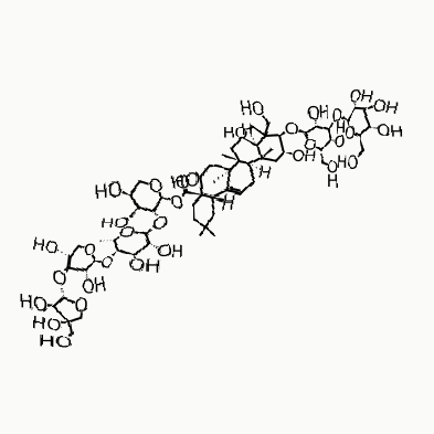 C[C@@H]1O[C@@H](O[C@H]2[C@H](OC(=O)[C@]34CCC(C)(C)C[C@H]3C3=CC[C@@H]5[C@@]6(C)C[C@H](O)[C@H](O[C@@H]7O[C@H](CO)[C@@H](O)[C@H](O[C@@H]8O[C@H](CO)[C@@H](O)[C@H](O)[C@H]8O)[C@H]7O)C(CO)(CO)[C@@H]6CC[C@@]5(C)[C@]3(C)C[C@H]4O)OC[C@H](O)[C@@H]2O)[C@H](O)[C@H](O)[C@H]1O[C@@H]1OC[C@@H](O)[C@H](O[C@@H]2OC[C@](O)(CO)[C@H]2O)[C@H]1O